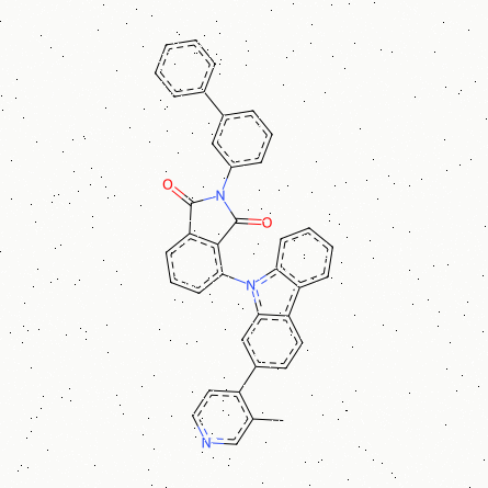 Cc1cnccc1-c1ccc2c3ccccc3n(-c3cccc4c3C(=O)N(c3cccc(-c5ccccc5)c3)C4=O)c2c1